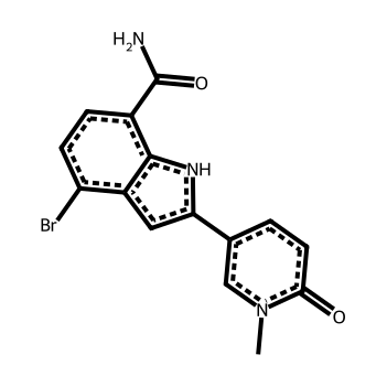 Cn1cc(-c2cc3c(Br)ccc(C(N)=O)c3[nH]2)ccc1=O